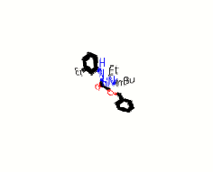 CCCCNCC.CCc1cccc(NC(=O)COCc2ccccc2)c1